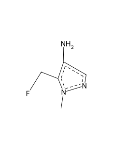 Cn1ncc(N)c1CF